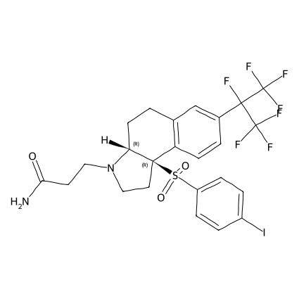 NC(=O)CCN1CC[C@@]2(S(=O)(=O)c3ccc(I)cc3)c3ccc(C(F)(C(F)(F)F)C(F)(F)F)cc3CC[C@@H]12